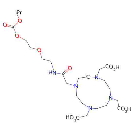 CC(C)OC(=O)OCCOCCNC(=O)CN1CCN(CC(=O)O)CCN(CC(=O)O)CCN(CC(=O)O)CC1